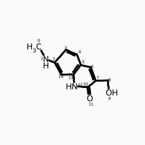 CNc1ccc2cc(CO)c(=O)[nH]c2c1